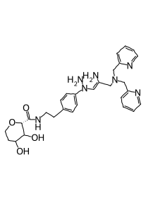 N/C(=C\N(N)c1ccc(CCNC(=O)[C@H]2OCCC(O)C2O)cc1)CN(Cc1ccccn1)Cc1ccccn1